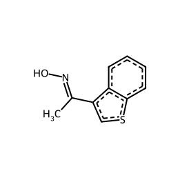 CC(=NO)c1csc2ccccc12